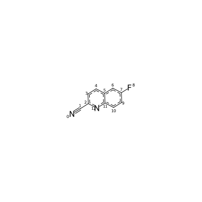 N#Cc1ccc2cc(F)ccc2n1